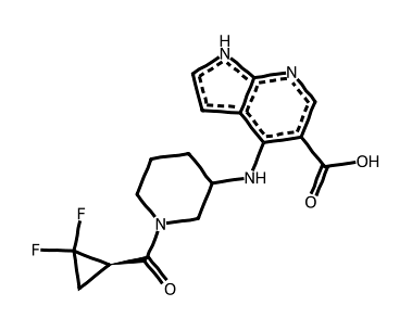 O=C(O)c1cnc2[nH]ccc2c1NC1CCCN(C(=O)[C@H]2CC2(F)F)C1